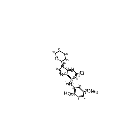 COc1ccc(O)c(Nc2nc(Cl)nc3c2ncn3C2CCCCO2)c1